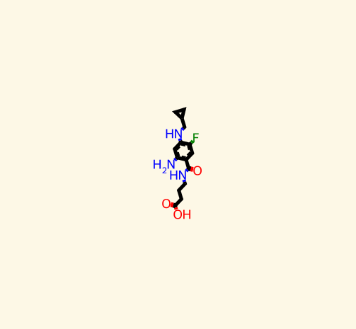 Nc1cc(NCC2CC2)c(F)cc1C(=O)NCCCC(=O)O